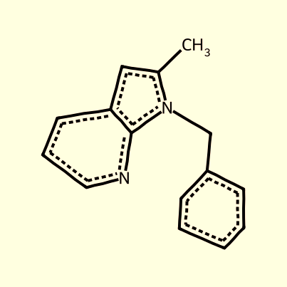 Cc1cc2cccnc2n1Cc1ccccc1